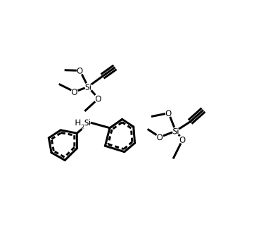 C#C[Si](OC)(OC)OC.C#C[Si](OC)(OC)OC.c1ccc([SiH2]c2ccccc2)cc1